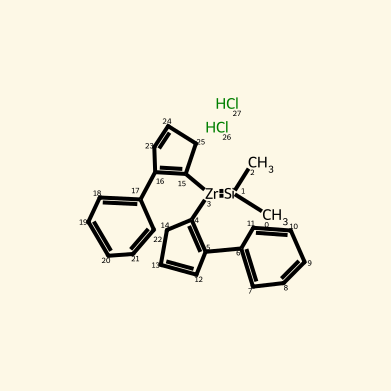 C[Si](C)=[Zr]([C]1=C(c2ccccc2)C=CC1)[C]1=C(c2ccccc2)C=CC1.Cl.Cl